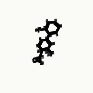 Fc1ccccc1-c1ccc(C2CO2)c(F)c1